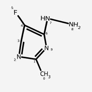 Cc1ncc(F)c(NN)n1